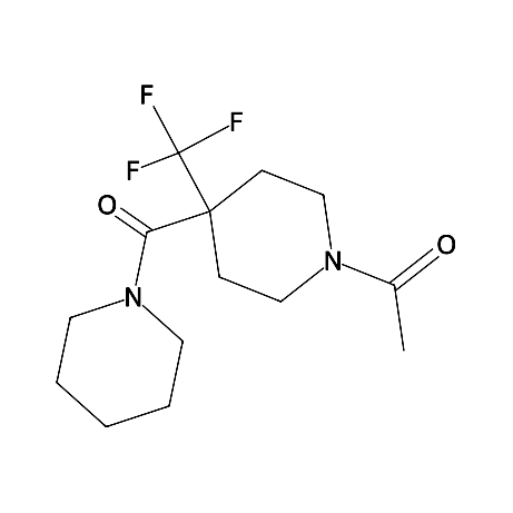 CC(=O)N1CCC(C(=O)N2CCCCC2)(C(F)(F)F)CC1